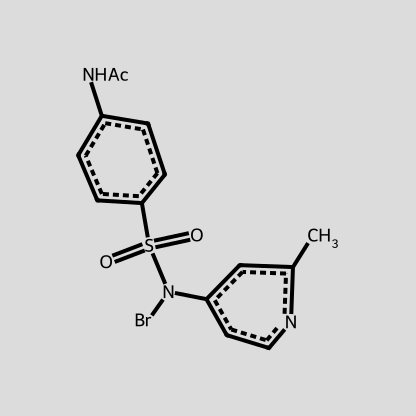 CC(=O)Nc1ccc(S(=O)(=O)N(Br)c2ccnc(C)c2)cc1